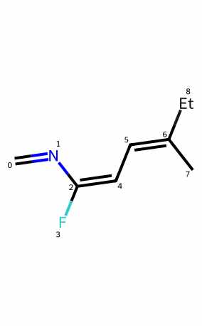 C=N/C(F)=C\C=C(/C)CC